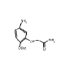 COc1ccc(N)cc1OCC(N)=O